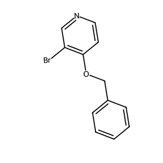 Brc1cnccc1OCc1ccccc1